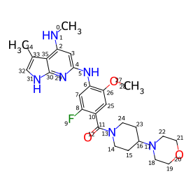 CNc1cc(Nc2cc(F)c(C(=O)N3CCC(N4CCOCC4)CC3)cc2OC)nc2[nH]cc(C)c12